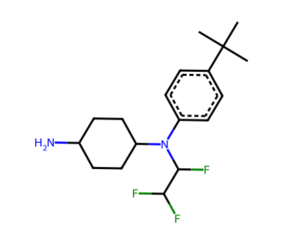 CC(C)(C)c1ccc(N(C2CCC(N)CC2)C(F)C(F)F)cc1